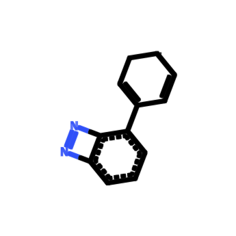 [CH]1C=CC(c2cccc3c2N=N3)=CC1